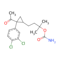 CC(=O)C1(c2ccc(Cl)c(Cl)c2)CC1CCC(C)(C)OC(N)=O